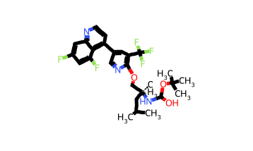 CC(C)C[C@@](C)(COc1ncc(-c2ccnc3cc(F)cc(F)c23)cc1C(F)(F)F)NC(O)OC(C)(C)C